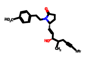 CCCC#CCC(C)[C@H](O)C=C[C@H]1CCC(=O)N1CCc1ccc(C(=O)O)cc1